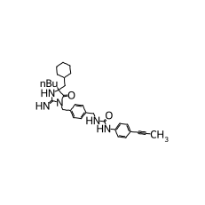 CC#Cc1ccc(NC(=O)NCc2ccc(CN3C(=N)NC(CCCC)(CC4CCCCC4)C3=O)cc2)cc1